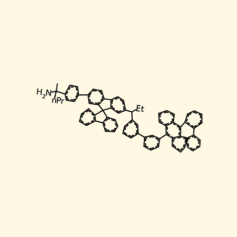 CCCC(C)(N)c1ccc(-c2ccc3c(c2)C2(c4ccccc4-c4ccccc42)c2cc(C(CC)c4cccc(-c5cccc(-c6c7ccccc7c(-c7ccccc7-c7ccccc7)c7ccccc67)c5)c4)ccc2-3)cc1